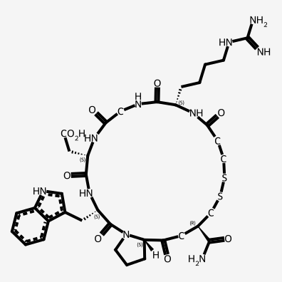 N=C(N)NCCCC[C@@H]1NC(=O)CCSSC[C@@H](C(N)=O)CC(=O)[C@@H]2CCCN2C(=O)[C@H](Cc2c[nH]c3ccccc23)NC(=O)[C@H](CC(=O)O)NC(=O)CNC1=O